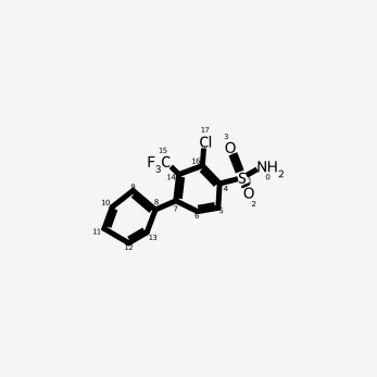 NS(=O)(=O)c1ccc(-c2ccccc2)c(C(F)(F)F)c1Cl